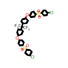 O=S(=O)(c1ccc(Cl)cc1)c1ccc(Oc2ccc(C(c3ccc(Oc4ccc(S(=O)(=O)c5ccc(Cl)cc5)cc4)cc3)(C(F)(F)F)C(F)(F)F)cc2)cc1